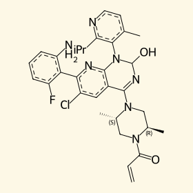 C=CC(=O)N1C[C@H](C)N(C2=NC(O)N(c3c(C)ccnc3C(C)C)c3nc(-c4c(N)cccc4F)c(Cl)cc32)C[C@H]1C